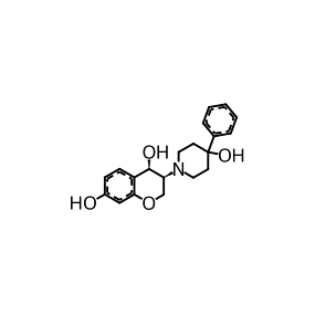 Oc1ccc2c(c1)OC[C@H](N1CCC(O)(c3ccccc3)CC1)[C@@H]2O